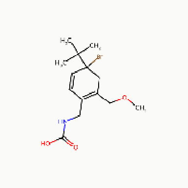 COCC1=C(CNC(=O)O)C=CC(Br)(C(C)(C)C)C1